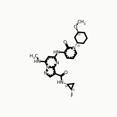 CNc1cc(Nc2cccn([C@H]3CCC[C@H](OC)C3)c2=O)nc2c(C(=O)N[C@@H]3C[C@@H]3F)cnn12